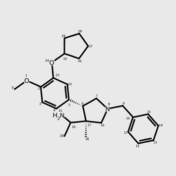 COc1ccc([C@@H]2CN(Cc3ccccc3)C[C@@]2(C)C(C)N)cc1OC1CCCC1